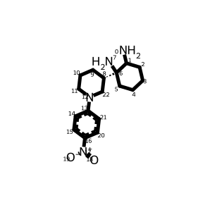 NC1CCCCC1(N)[C@H]1CCCN(c2ccc([N+](=O)[O-])cc2)C1